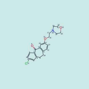 O=C1c2ccc(Cl)cc2CCc2ccc(OCCN3CCOCC3)cc21